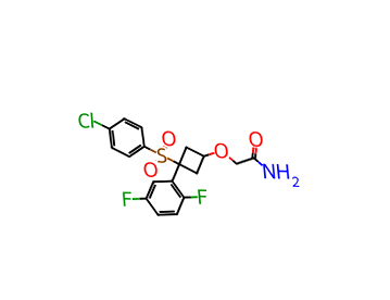 NC(=O)COC1CC(c2cc(F)ccc2F)(S(=O)(=O)c2ccc(Cl)cc2)C1